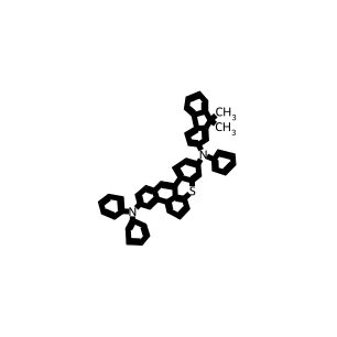 CC1(C)c2ccccc2-c2ccc(N(c3ccccc3)c3ccc4c(c3)Sc3cccc5c3c-4cc3ccc(N(c4ccccc4)c4ccccc4)cc35)cc21